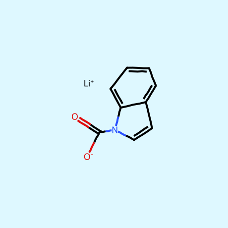 O=C([O-])n1ccc2ccccc21.[Li+]